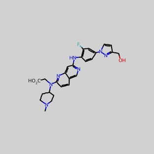 CN1CCC(N(CC(=O)O)c2ccc3cnc(Nc4ccc(-n5ccc(CO)n5)cc4F)cc3n2)CC1